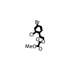 COC(=O)C1OC=C(c2ccc(Br)cc2Cl)O1